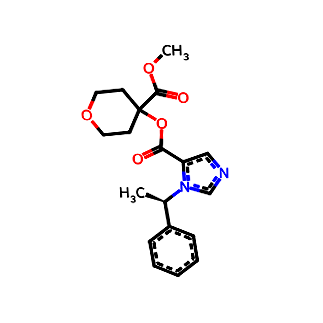 COC(=O)C1(OC(=O)c2cncn2[C@H](C)c2ccccc2)CCOCC1